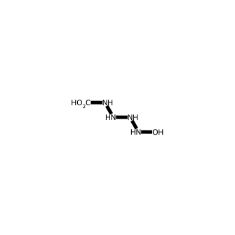 O=C(O)NNNNO